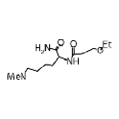 CCOCCC(=O)NC(CCCCNC)C(N)=O